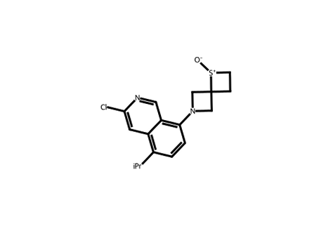 CC(C)c1ccc(N2CC3(CC[S+]3[O-])C2)c2cnc(Cl)cc12